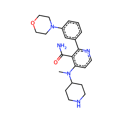 CN(c1ccnc(-c2cccc(N3CCOCC3)c2)c1C(N)=O)C1CCNCC1